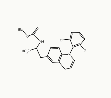 CC(C)(C)OC(=O)NC(Cc1ccc2c(c1)CC=CN2c1c(Cl)cccc1Cl)C(=O)O